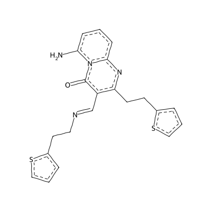 Nc1cccc2nc(CCc3cccs3)c(C=NCCc3cccs3)c(=O)n12